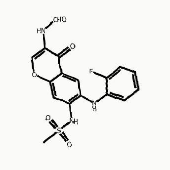 CS(=O)(=O)Nc1cc2occ(NC=O)c(=O)c2cc1Nc1ccccc1F